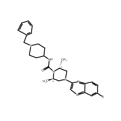 C[C@@H]1CN(c2cnc3cc(F)ccc3n2)C[C@@H](C)N1C(=O)NC1CCN(Cc2ccccc2)CC1